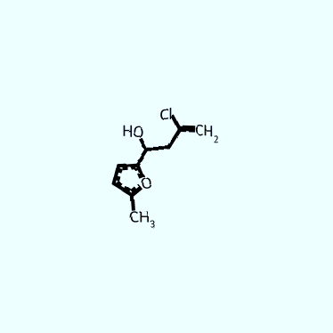 C=C(Cl)CC(O)c1ccc(C)o1